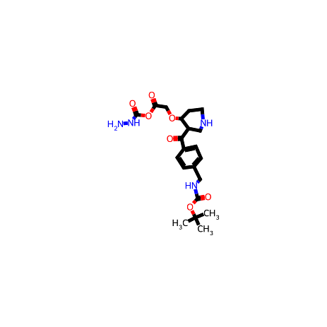 CC(C)(C)OC(=O)NCc1ccc(C(=O)C2CNCCC2OCC(=O)OC(=O)NN)cc1